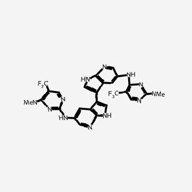 CNc1ncc(C(F)(F)F)c(Nc2cnc3[nH]cc(-c4c[nH]c5ncc(Nc6ncc(C(F)(F)F)c(NC)n6)cc45)c3c2)n1